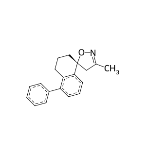 CC1=NO[C@]2(CCCc3c(-c4ccccc4)cccc32)C1